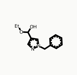 CCOC(O)c1cnn(Cc2ccccc2)c1